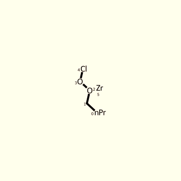 CCCCOOCl.[Zr]